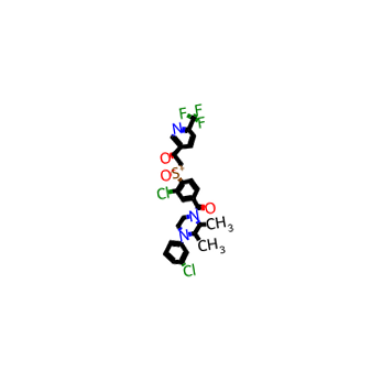 CC1C(C)N(c2cccc(Cl)c2)CCN1C(=O)c1ccc([S+]([O-])CC(=O)c2ccc(C(F)(F)F)nc2)c(Cl)c1